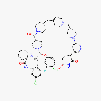 O=C1CCC(c2cncc(N3CCC(CN4CCC(CC5CCN(C(=O)C6CCN(C(=O)[C@H]7NC8(CCCCC8)C(=O)Nc8cc(Cl)ccc8C7c7cccc(Cl)c7F)CC6)CC5)CC4)CC3)c2)C(=O)N1